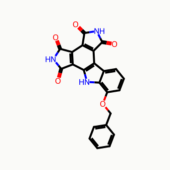 O=c1[nH]c(=O)c2c1c1[nH]c3c(OCc4ccccc4)cccc3c1c1c(=O)[nH]c(=O)c21